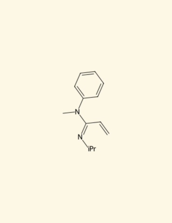 C=C/C(=N\C(C)C)N(C)c1ccccc1